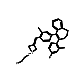 Cc1cc(C2=C(c3ccc(F)cc3C)CCCc3ccccc32)ccc1C=C1CN(CCCF)C1